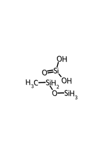 C[SiH2]O[SiH3].O=[Si](O)O